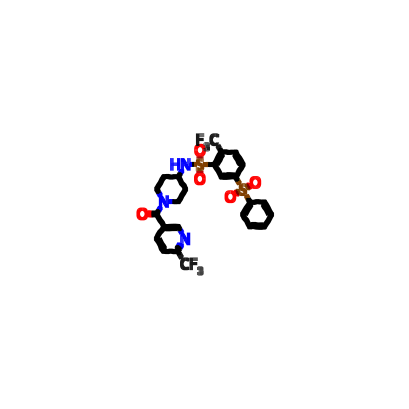 O=C(c1ccc(C(F)(F)F)nc1)N1CCC(NS(=O)(=O)c2cc(S(=O)(=O)c3ccccc3)ccc2C(F)(F)F)CC1